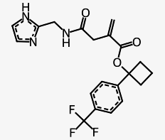 C=C(CC(=O)NCc1ncc[nH]1)C(=O)OC1(c2ccc(C(F)(F)F)cc2)CCC1